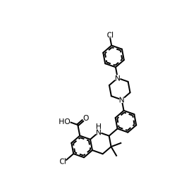 CC1(C)Cc2cc(Cl)cc(C(=O)O)c2NC1c1cccc(N2CCN(c3ccc(Cl)cc3)CC2)c1